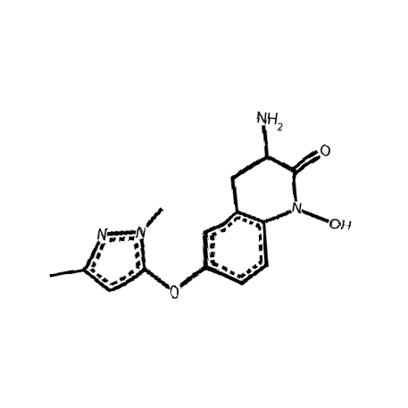 Cc1cc(Oc2ccc3c(c2)CC(N)C(=O)N3O)n(C)n1